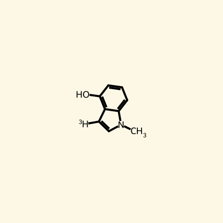 [3H]c1cn(C)c2cccc(O)c12